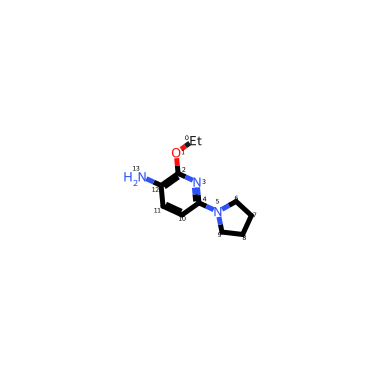 CCOc1nc(N2CCCC2)ccc1N